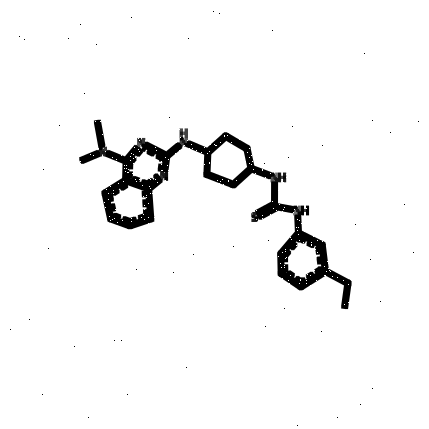 CCc1cccc(NC(=S)NC2CCC(Nc3nc(N(C)C)c4ccccc4n3)CC2)c1